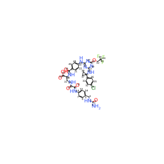 NC(=O)NCc1ccc(NC(=O)C(=O)NC[C@H](NC(=O)c2ccc(Nc3nc(NC4(c5ccc(Cl)cc5)CC4)nc(OCC(F)(F)F)n3)cc2)C(=O)O)cc1